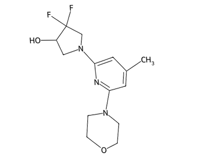 Cc1cc(N2CCOCC2)nc(N2CC(O)C(F)(F)C2)c1